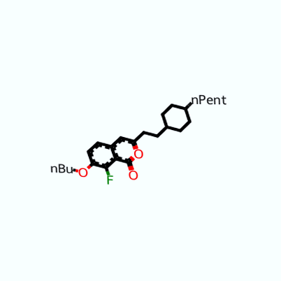 CCCCCC1CCC(CCc2cc3ccc(OCCCC)c(F)c3c(=O)o2)CC1